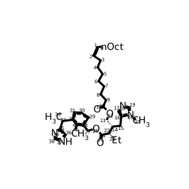 CCCCCCCC/C=C\CCCCCCCC(=O)OC[C@H](Cc1cncn1C)[C@H](CC)C(=O)OCc1cccc([C@H](C)c2c[nH]cn2)c1C